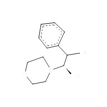 C[C@H](C(O)c1ccccc1)N1CCOCC1